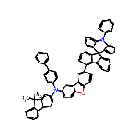 CC1(C)c2ccccc2-c2ccc(N(c3ccc(-c4ccccc4)cc3)c3ccc4oc5ccc(-c6cccc7c6-c6ccccc6C76c7ccccc7N(c7ccccc7)c7ccccc76)cc5c4c3)cc21